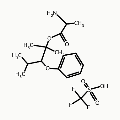 CC(N)C(=O)OC(C)(C)C(Oc1ccccc1)C(C)C.O=S(=O)(O)C(F)(F)F